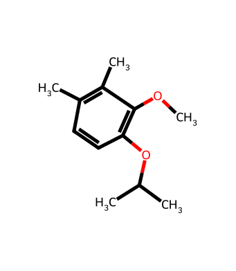 COc1c(OC(C)C)ccc(C)c1C